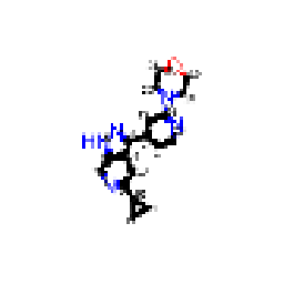 c1cc(-c2n[nH]c3cnc(C4CC4)cc23)cc(N2CCOCC2)n1